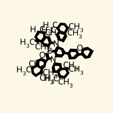 CC1(C)CCC(C)(C)c2cc(N3c4cc5c(cc4B4c6oc7cc8c(cc7c6N(c6ccc7c(c6)C(C)(C)CCC7(C)C)c6cc(-c7ccc9c(c7)oc7ccccc79)cc3c64)C(C)(C)CCC8(C)C)C(C)(C)CCC5(C)C)ccc21